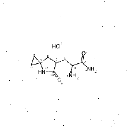 Cl.NC(=O)[C@@H](N)CC1CC2(CC2)NC1=O